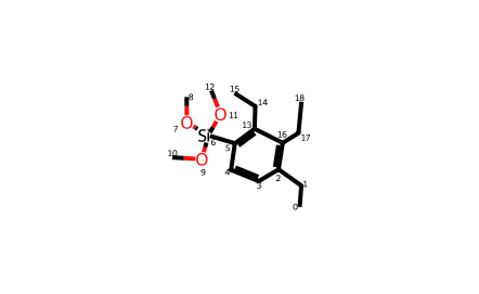 CCc1ccc([Si](OC)(OC)OC)c(CC)c1CC